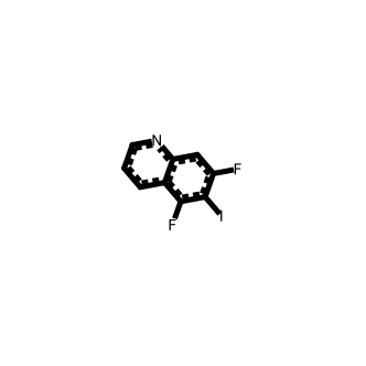 Fc1cc2ncccc2c(F)c1I